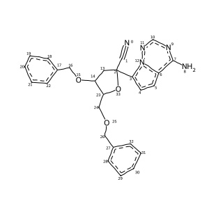 N#CC1(c2ccc3c(N)ncnn23)CC(OCc2ccccc2)C(COCc2ccccc2)O1